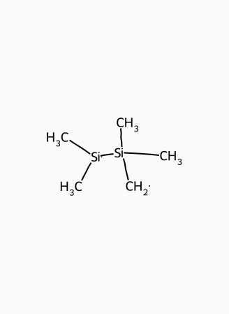 [CH2][Si](C)(C)[Si](C)C